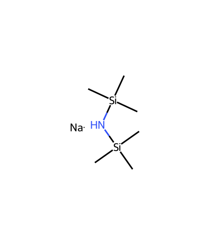 C[Si](C)(C)N[Si](C)(C)C.[Na]